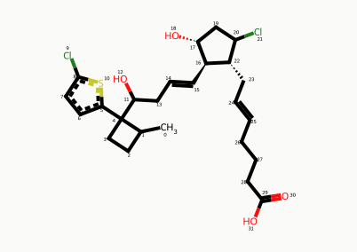 CC1CCC1(c1ccc(Cl)s1)C(O)CC=C[C@H]1[C@H](O)CC(Cl)[C@@H]1CC=CCCCC(=O)O